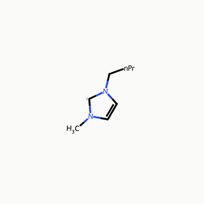 CCCCN1[C]N(C)C=C1